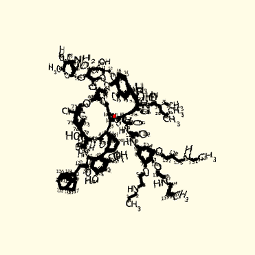 CCCNCCOc1cc(NC(=O)NC(=O)C[C@@H]2CC(=O)[C@H](NC(=O)[C@H](CC)CC(C)C)[C@H](O)c3ccc(c(Cl)c3)Oc3cc4cc(c3O[C@@H]3O[C@H](CO)[C@@H](O)[C@H](O)[C@H]3O[C@H]3C[C@](C)(N)[C@H](O)[C@H](C)O3)Oc3ccc(cc3Cl)[C@@H](O)[C@@H]3NC(=O)[C@H](CC(=O)[C@@H]4NC2=O)c2ccc(O)c(c2)-c2c(O)cc(O)cc2[C@@H](C(=O)CC2C4CC5CC(C4)CC2C5)NC3=O)cc(OCCCNCC)c1OCCNCCC